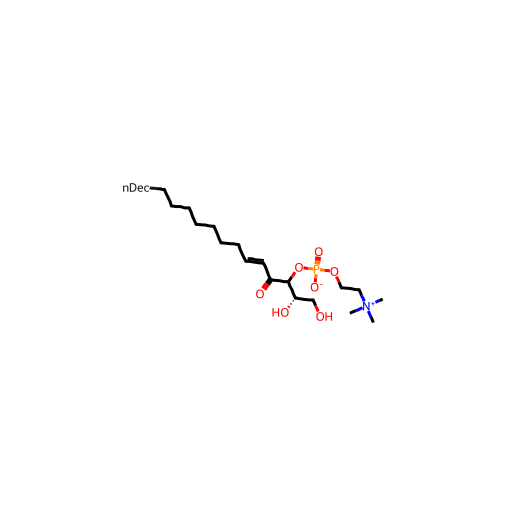 CCCCCCCCCCCCCCCCCC=CC(=O)C(OP(=O)([O-])OCC[N+](C)(C)C)[C@@H](O)CO